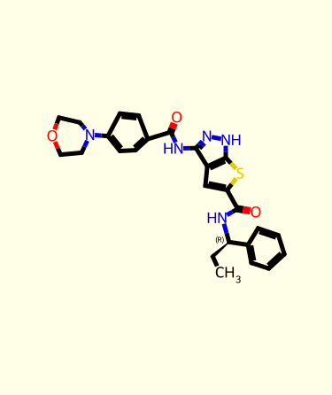 CC[C@@H](NC(=O)c1cc2c(NC(=O)c3ccc(N4CCOCC4)cc3)n[nH]c2s1)c1ccccc1